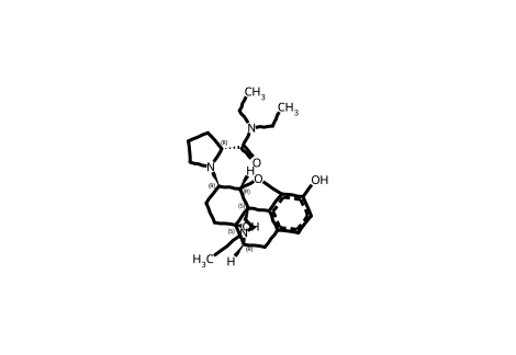 CCN(CC)C(=O)[C@H]1CCCN1[C@@H]1CC[C@@]2(O)[C@H]3Cc4ccc(O)c5c4[C@@]2(CCN3C)[C@H]1O5